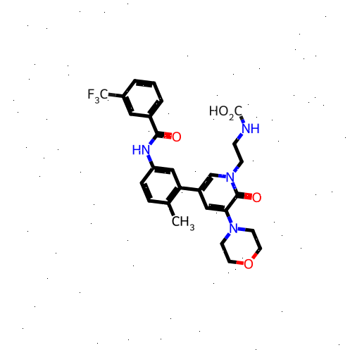 Cc1ccc(NC(=O)c2cccc(C(F)(F)F)c2)cc1-c1cc(N2CCOCC2)c(=O)n(CCNC(=O)O)c1